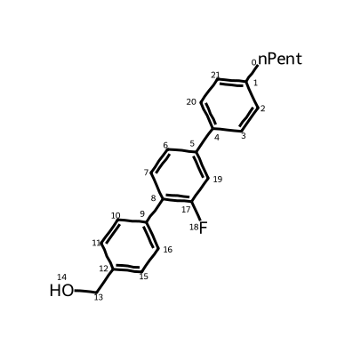 CCCCCc1ccc(-c2ccc(-c3ccc(CO)cc3)c(F)c2)cc1